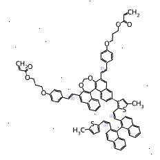 C=CC(=O)OCCCOc1ccc(/C=C/c2cc3ccccc3c3c2OCOc2c(/C=C/c4ccc(OCCCOC(=O)C=C)cc4)cc4cc(-c5cc(C)sc5/C=C\c5ccc6ccccc6c5-c5c(/C=C\c6ccc(C)s6)ccc6ccccc56)ccc4c2-3)cc1